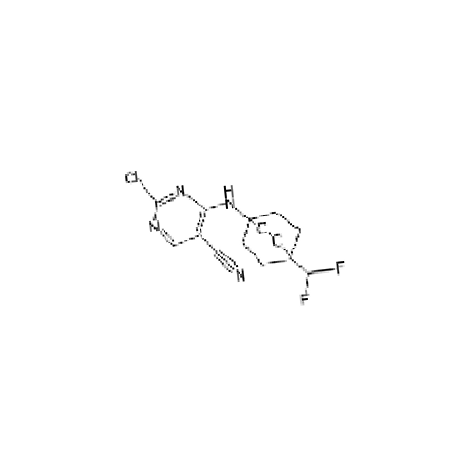 N#Cc1cnc(Cl)nc1NC12CCC(C(F)F)(CC1)CC2